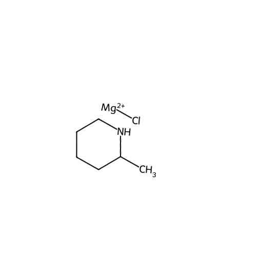 CC1CCCCN1.[Mg+2][Cl]